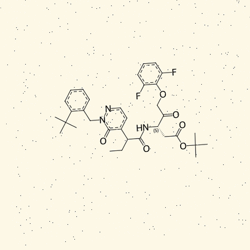 CCC(C(=O)N[C@@H](CC(=O)OC(C)(C)C)C(=O)COc1c(F)cccc1F)c1ccnn(Cc2ccccc2C(C)(C)C)c1=O